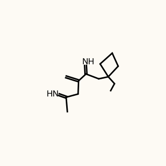 C=C(CC(C)=N)C(=N)CC1(CC)CCC1